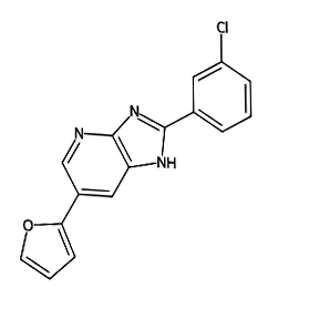 Clc1cccc(-c2nc3ncc(-c4ccco4)cc3[nH]2)c1